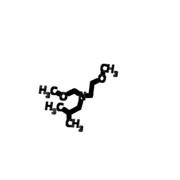 COCCN(COC)CC(C)C